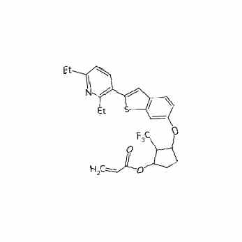 C=CC(=O)OC1CCC(Oc2ccc3cc(-c4ccc(CC)nc4CC)sc3c2)C1C(F)(F)F